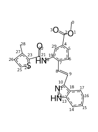 COC(=O)c1ccc(C=Cc2n[nH]c3ccccc23)c(NC(=O)c2sccc2C)c1